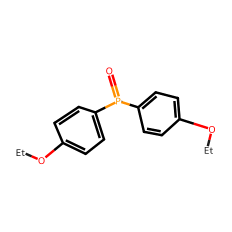 CCOc1ccc([P](=O)c2ccc(OCC)cc2)cc1